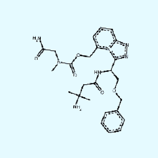 CN(CC(N)=O)C(=O)OCc1cccc2nnc([C@@H](COCc3ccccc3)NC(=O)CC(C)(C)N)n12